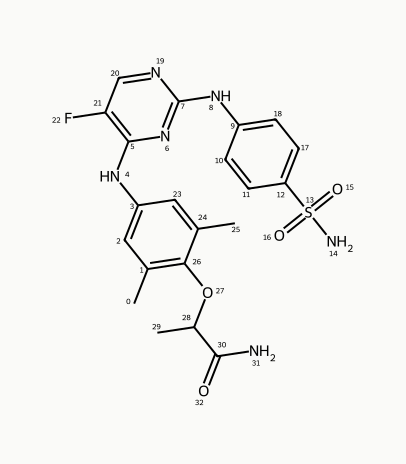 Cc1cc(Nc2nc(Nc3ccc(S(N)(=O)=O)cc3)ncc2F)cc(C)c1OC(C)C(N)=O